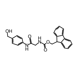 O=C(CNC(=O)OCC1c2ccccc2-c2ccccc21)Nc1ccc(CO)cc1